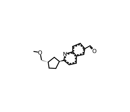 COC[C@H]1CC[C@H](c2ccc3cc(C=O)ccc3n2)C1